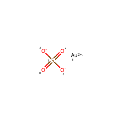 O=S(=O)([O-])[O-].[Au+2]